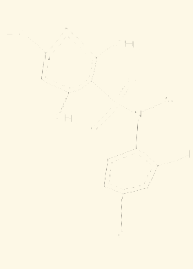 CC(=O)N(c1ccc(Cl)cc1I)S(=O)(=O)c1c(C)cc(C)cc1C